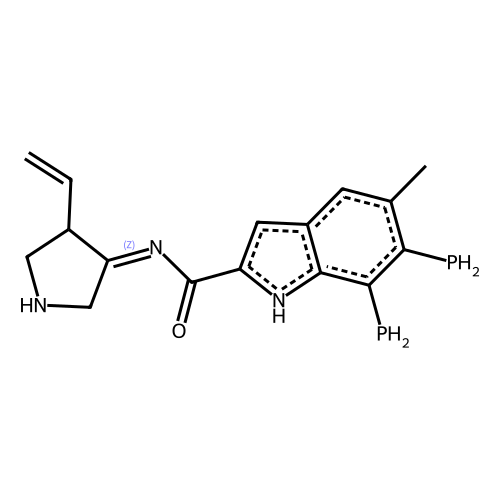 C=CC1CNC/C1=N\C(=O)c1cc2cc(C)c(P)c(P)c2[nH]1